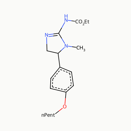 CCCCCOc1ccc(C2CN=C(NC(=O)OCC)N2C)cc1